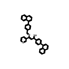 N=C(/C=C(\N=C\c1ccc(-c2cccc3ccccc23)cc1)c1cccnc1)c1ccc(-c2cccc3ccccc23)cc1